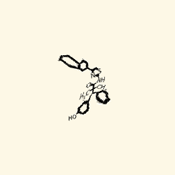 CC(C)(C(=O)Nc1nc(-c2ccc3ccccc3c2)cs1)C(c1ccccc1)c1ccc(O)cc1